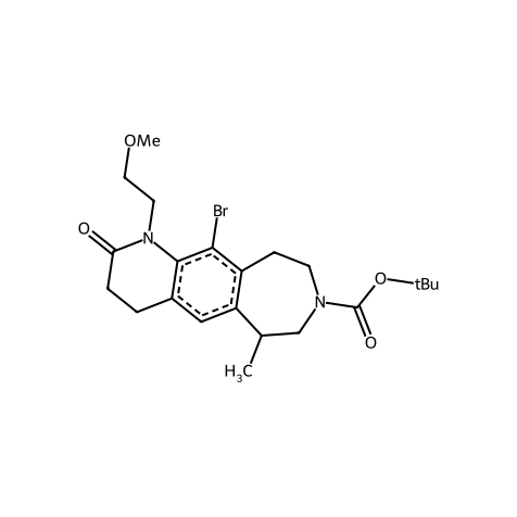 COCCN1C(=O)CCc2cc3c(c(Br)c21)CCN(C(=O)OC(C)(C)C)CC3C